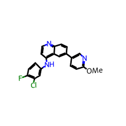 COc1ccc(-c2ccc3nccc(Nc4ccc(F)c(Cl)c4)c3c2)cn1